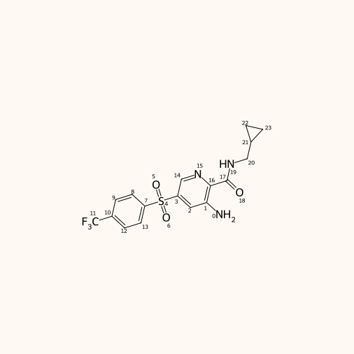 Nc1cc(S(=O)(=O)c2ccc(C(F)(F)F)cc2)cnc1C(=O)NCC1CC1